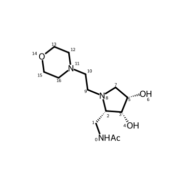 CC(=O)NC[C@H]1[C@@H](O)[C@@H](O)CN1CCN1CCOCC1